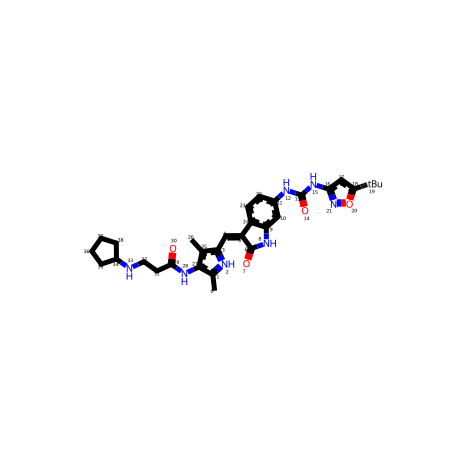 Cc1[nH]c(C=C2C(=O)Nc3cc(NC(=O)Nc4cc(C(C)(C)C)on4)ccc32)c(C)c1NC(=O)CCNC1CCCC1